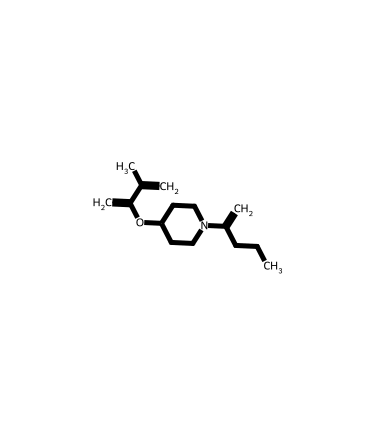 C=C(C)C(=C)OC1CCN(C(=C)CCC)CC1